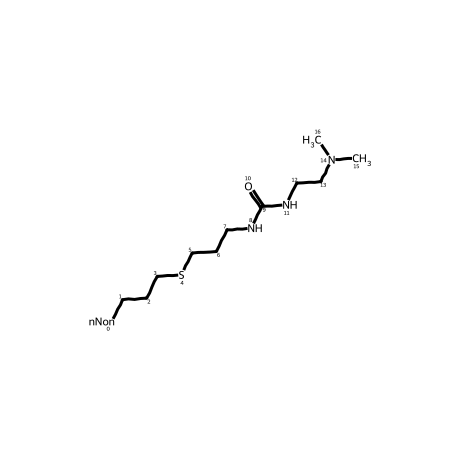 CCCCCCCCCCCCSCCCNC(=O)NCCN(C)C